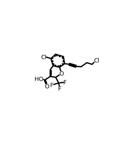 O=C(O)C1=Cc2c(Cl)ccc(C#CCCCCl)c2OC1C(F)(F)F